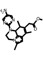 COC(=O)CC1=C(C)c2cc(C)n3c2C(C1C)N(c1ncc(N)cn1)CC3